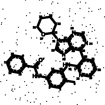 Cc1ccc(NC(=O)c2ccccc2)cc1Nc1ncccc1-c1ncnc2c1ncn2C1CCCCO1